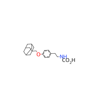 O=C(O)NCCc1ccc(OCC23CC4CC(CC(C4)C2)C3)cc1